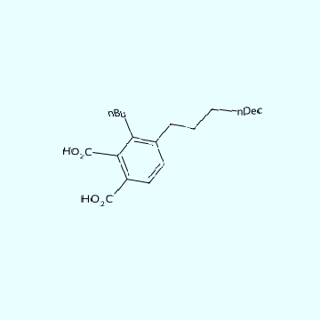 CCCCCCCCCCCCCc1ccc(C(=O)O)c(C(=O)O)c1CCCC